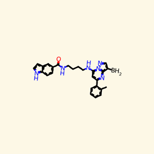 Bc1cnn2c(NCCCCNC(=O)c3ccc4[nH]ccc4c3)cc(-c3ccccc3C)nc12